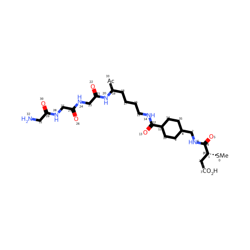 CS[C@H](CC(=O)O)C(=O)NCC1CCC(C(=O)NCCCCC(NC(=O)CNC(=O)CNC(=O)CN)C(C)=O)CC1